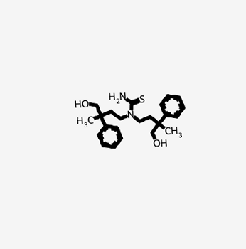 CC(CO)(CCN(CCC(C)(CO)c1ccccc1)C(N)=S)c1ccccc1